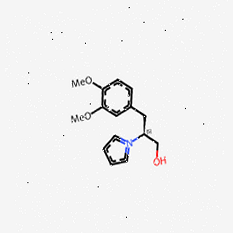 COc1ccc(C[C@@H](CO)n2cccc2)cc1OC